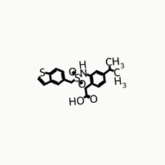 CC(C)c1ccc(CC(=O)O)c(NS(=O)(=O)Cc2ccc3sccc3c2)c1